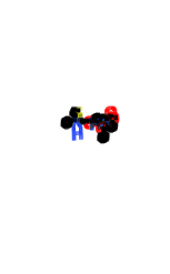 COC(=O)[C@H](Cc1ccc(OCCCNC(c2ccccc2)c2cccs2)cc1)Nc1ccccc1C(=O)c1ccccc1